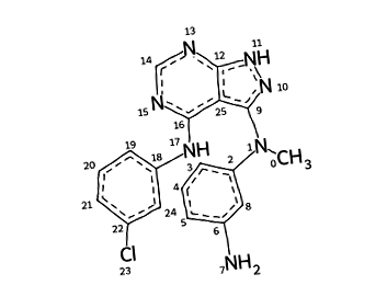 CN(c1cccc(N)c1)c1n[nH]c2ncnc(Nc3cccc(Cl)c3)c12